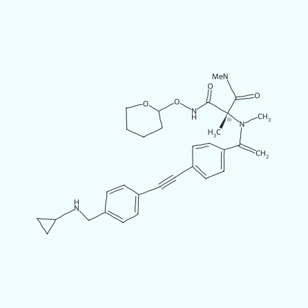 C=C(c1ccc(C#Cc2ccc(CNC3CC3)cc2)cc1)N(C)[C@@](C)(C(=O)NC)C(=O)NOC1CCCCO1